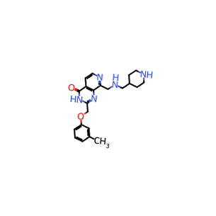 Cc1cccc(OCc2nc3c(CNCC4CCNCC4)nccc3c(=O)[nH]2)c1